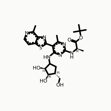 Cc1nc(N[C@H](C)C(=O)OC(C)(C)C)nc(NC2C[C@H](CO)[C@@H](O)[C@H]2O)c1-c1nc2c(C)nccc2s1